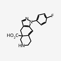 O=C(O)C12CNCCC1=Cc1c(cnn1-c1ccc(F)cc1)C2